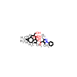 CC1=C[C@]23C(O)[C@@H](C=C(CO)[C@@H](O)[C@]2(O)[C@H]1OC(=O)c1c(C)nn(-c2ccccc2)c1C)[C@H]1[C@@H](C[C@H]3C)C1(C)C